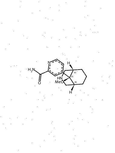 CO[C@]1(c2ccnc(C(N)=O)c2)[C@@H]2CCC[C@H]1CNC2